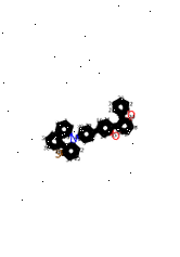 c1ccc(N(c2ccc(-c3ccc4c(c3)oc3ccc5oc6ccccc6c5c34)cc2)c2cccc3sc4ccccc4c23)cc1